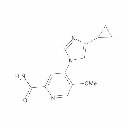 COc1cnc(C(N)=O)cc1-n1cnc(C2CC2)c1